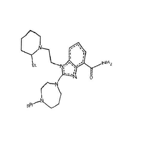 CCCN1CCCN(c2nc3c(C(N)=O)cccc3n2CCN2CCCCC2CC)CC1